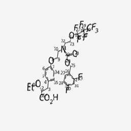 CCOC(Cc1ccc(OCCN(CCOC(F)(F)C(F)(F)C(F)(F)F)C(=O)OCc2ccc(F)cc2F)cc1)C(=O)O